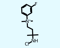 CC(C)(CC[N+](C)(C)c1cccc(F)c1)NCl